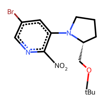 CC(C)(C)OC[C@H]1CCCN1c1cc(Br)cnc1[N+](=O)[O-]